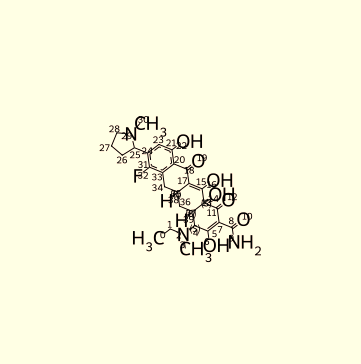 CCN(C)[C@@H]1C(O)=C(C(N)=O)C(=O)[C@@]2(O)C(O)=C3C(=O)c4c(O)cc(C5CCCN5C)c(F)c4C[C@H]3C[C@@H]12